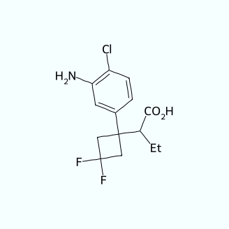 CCC(C(=O)O)C1(c2ccc(Cl)c(N)c2)CC(F)(F)C1